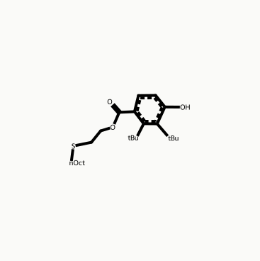 CCCCCCCCSCCOC(=O)c1ccc(O)c(C(C)(C)C)c1C(C)(C)C